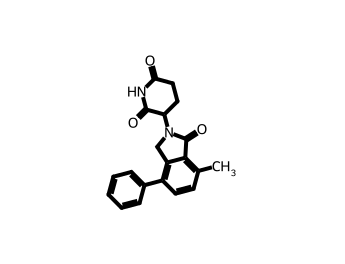 Cc1ccc(-c2ccccc2)c2c1C(=O)N(C1CCC(=O)NC1=O)C2